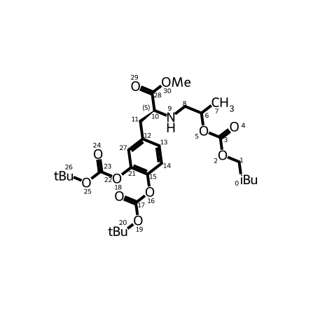 CCC(C)COC(=O)OC(C)CN[C@@H](Cc1ccc(OC(=O)OC(C)(C)C)c(OC(=O)OC(C)(C)C)c1)C(=O)OC